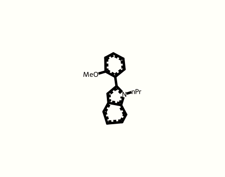 CCCn1c(-c2ccccc2OC)cc2ccccc21